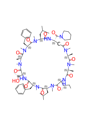 CC[C@H](C)[C@@H]1NC(=O)[C@H](C)N(C)C(=O)[C@H](C)N(C)C(=O)C[C@@H](C(=O)N2CCCCC2)NC(=O)[C@H](CC(C)C)N(C)C(=O)[C@H](Cc2ccccc2)N(C)C(=O)[C@H](C)N(C)C(=O)[C@H]([C@@H](C)O)NC(=O)[C@H](Cc2ccccc2)N(C)C(=O)[C@H](CC(C)C)N(C)C1=O